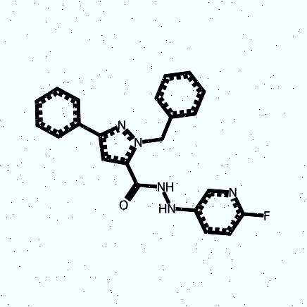 O=C(NNc1ccc(F)nc1)c1cc(-c2ccccc2)nn1Cc1ccccc1